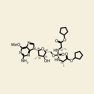 COc1nc(N)nc2c1ncn2[C@@H]1O[C@H](COP(=O)(N[C@@H](C)C(=O)OC2CCCC2)N[C@@H](C)C(=O)OC2CCCC2)[C@@H](O)[C@@H]1C